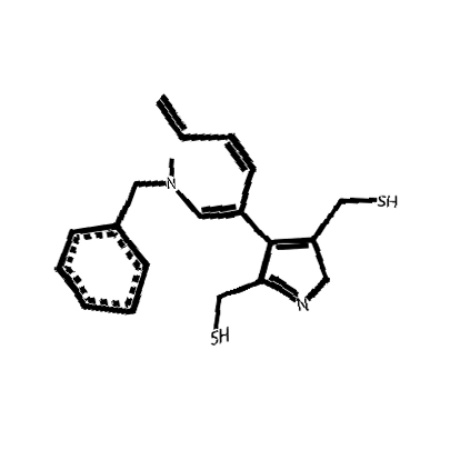 C=C/C=C\C(=C/N(C)Cc1ccccc1)C1=C(CS)CN=C1CS